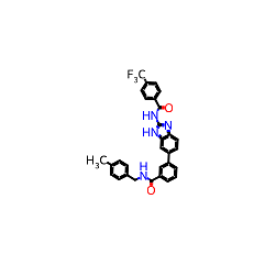 Cc1ccc(CNC(=O)c2cccc(-c3ccc4nc(NC(=O)c5ccc(C(F)(F)F)cc5)[nH]c4c3)c2)cc1